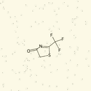 O=C1[CH]SC(C(F)(F)F)=N1